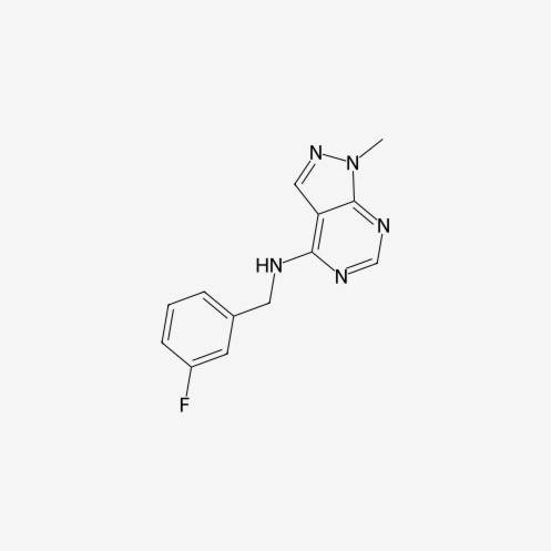 Cn1ncc2c(NCc3cccc(F)c3)ncnc21